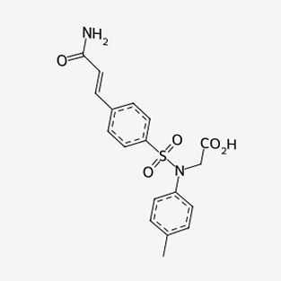 Cc1ccc(N(CC(=O)O)S(=O)(=O)c2ccc(C=CC(N)=O)cc2)cc1